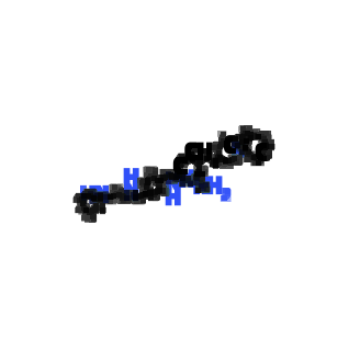 C/C1=C(CCC2CCCN(C34CCCCCC(CC3)C4)CC2)/C=C(N)\N=C(\NCc2ccc(CNCCCNC3CCCCC3)cc2)CC1